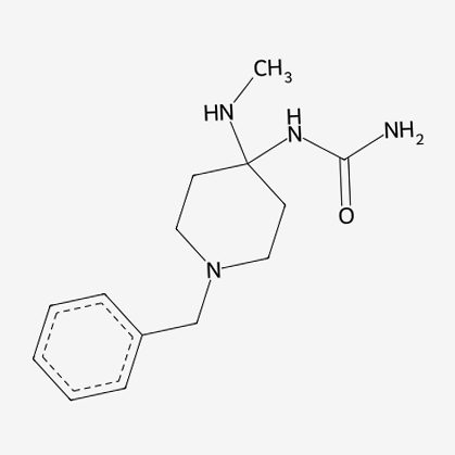 CNC1(NC(N)=O)CCN(Cc2ccccc2)CC1